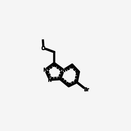 COCc1nnc2cc(Br)ccn12